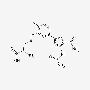 Cc1ccc(-c2cc(C(N)=O)c(NC(N)=O)s2)cc1C=CC[C@H](N)C(=O)O